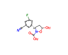 N#Cc1cc(F)cc([C@@H]2CC(O)ON2C(=O)O)c1